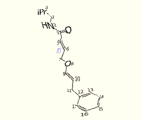 CC(C)CNC(=O)/C=C/COC=CCc1ccccc1